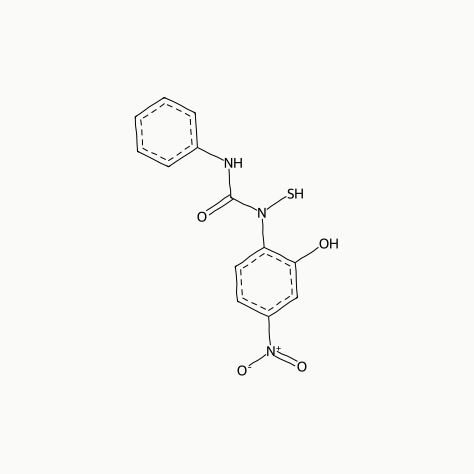 O=C(Nc1ccccc1)N(S)c1ccc([N+](=O)[O-])cc1O